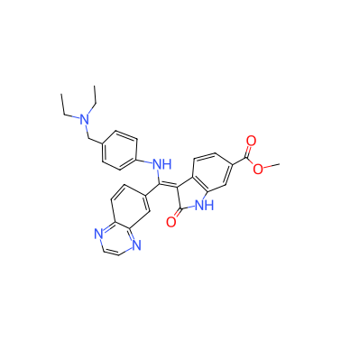 CCN(CC)Cc1ccc(NC(=C2C(=O)Nc3cc(C(=O)OC)ccc32)c2ccc3nccnc3c2)cc1